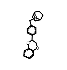 c1ccc2c(c1)OCC(c1ccc(CN3C4CCC3CC4)cc1)O2